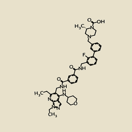 CCc1nc2c(cnn2CC)c(NC2CCOCC2)c1CNC(=O)c1cccc(C(=O)NCc2cccc(-c3cccc(CN4CCN(C(=O)O)[C@@H](C)C4)c3)c2F)c1